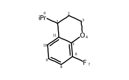 CC(C)C1CCOc2c(F)cccc21